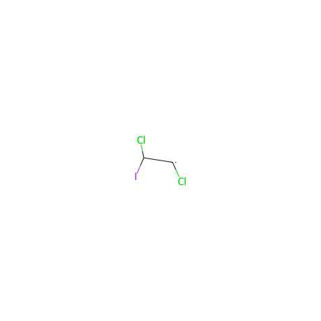 Cl[CH]C(Cl)I